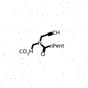 C#CCN(CC(=O)O)C(=O)CCCCC